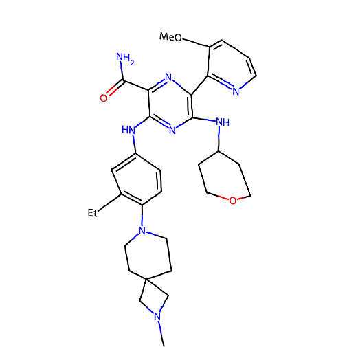 CCc1cc(Nc2nc(NC3CCOCC3)c(-c3ncccc3OC)nc2C(N)=O)ccc1N1CCC2(CC1)CN(C)C2